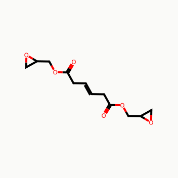 O=C(CC=CCC(=O)OCC1CO1)OCC1CO1